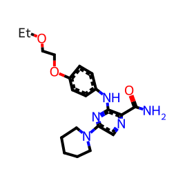 CCOCCOc1ccc(Nc2nc(N3CCCCC3)cnc2C(N)=O)cc1